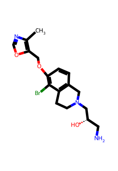 Cc1ncoc1COc1ccc2c(c1Br)CCN(C[C@@H](O)CN)C2